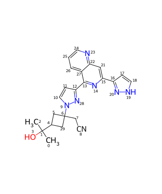 CC(C)(O)C1CC(CC#N)(n2ccc(-c3nc(-c4cc[nH]n4)cc4ncccc34)n2)C1